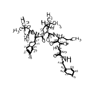 CCCC(NC(=O)[C@@H]1[C@@H]2[C@@H](CN1C(=O)[C@@H](NC(=O)OC(C)(C)C)C1Cc3ccccc3C1)C2(C)C)C(=O)C(=O)NCC(=O)NCc1ccccc1